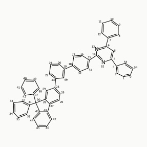 c1ccc(-c2cc(-c3ccccc3)nc(-c3ccc(-c4cccc(-c5ccc6c(c5)C(c5ccccc5)(c5ccccc5)c5ccccc5-6)c4)cc3)n2)cc1